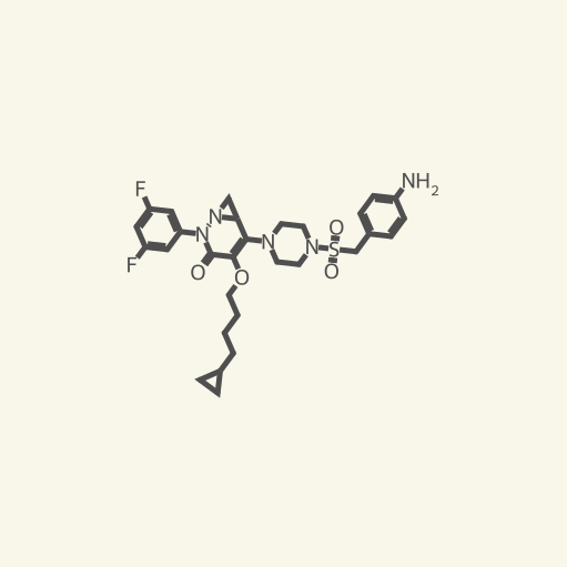 Nc1ccc(CS(=O)(=O)N2CCN(C3=C(OCCCCC4CC4)C(=O)N(c4cc(F)cc(F)c4)N4CC34)CC2)cc1